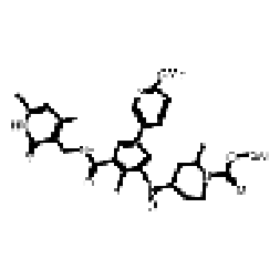 CCN(c1cc(-c2ccc(OC)nc2)cc(C(=O)NCc2c(C)cc(C)[nH]c2=O)c1C)C1CCN(C(=O)OC(C)(C)C)C(C)C1